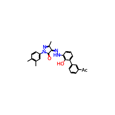 CC(=O)c1cccc(-c2cccc(NN=C3C(=O)N(c4ccc(C)c(C)c4)N=C3C)c2O)c1